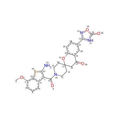 COc1cccc2c(C(=O)N3CCC4(CC3)CC(=O)c3cc(-c5noc(=O)[nH]5)ccc3O4)c(N)sc12